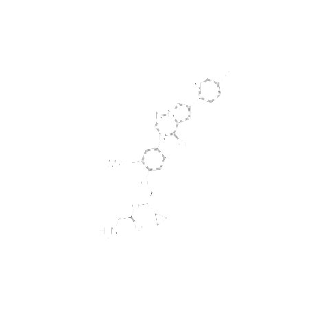 COc1cc(-n2cnn3cc(-c4ccc(Cl)cn4)cc3c2=O)ccc1OC[C@H](OC(=O)CN)C1CC1